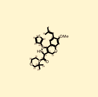 COc1cc2c(cc1C=C(C)C)C1=C(CO2)C(C(=O)N2CCOCC2(C)C)NN1c1ccsc1